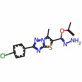 C=C(C)O/C(=N\N)c1sc2nc(-c3ccc(Cl)cc3)nn2c1C